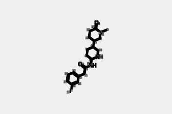 CN1CC(C2CCC(NC(=O)Cc3cccc(F)c3)NC2)CCC1=O